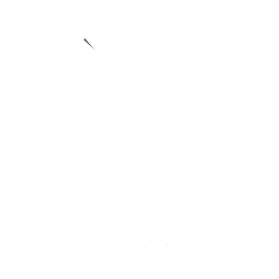 CC[C@H]1CC[C@H](C2CCC(CC(=O)O)CC2)CC1